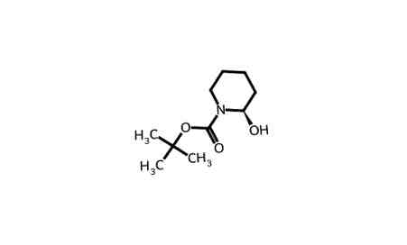 CC(C)(C)OC(=O)N1CCCC[C@H]1O